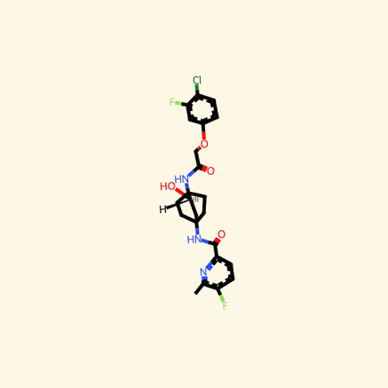 Cc1nc(C(=O)NC23CCC(NC(=O)COc4ccc(Cl)c(F)c4)(CC2)[C@@H](O)C3)ccc1F